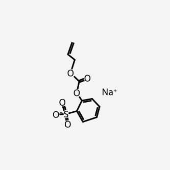 C=CCOC(=O)Oc1ccccc1S(=O)(=O)[O-].[Na+]